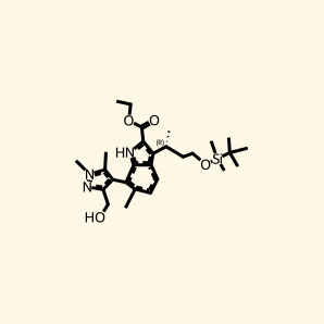 CCOC(=O)c1[nH]c2c(-c3c(CO)nn(C)c3C)c(C)ccc2c1[C@H](C)CCO[Si](C)(C)C(C)(C)C